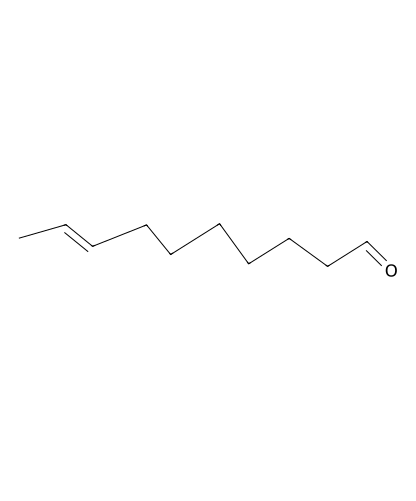 C/C=C/CCCCCCC=O